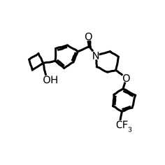 O=C(c1ccc(C2(O)CCC2)cc1)N1CCC(Oc2ccc(C(F)(F)F)cc2)CC1